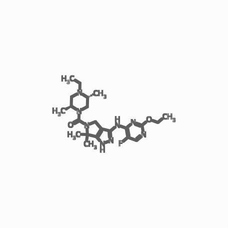 CCOc1ncc(F)c(Nc2n[nH]c3c2CN(C(=O)N2C[C@@H](C)N(CC)C[C@@H]2C)C3(C)C)n1